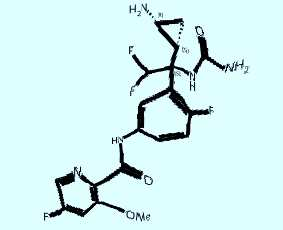 COc1cc(F)cnc1C(=O)Nc1ccc(F)c([C@](NC(N)=O)(C(F)F)[C@H]2C[C@H]2N)c1